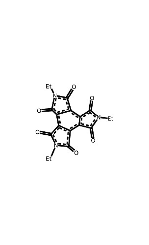 CCn1c(=O)c2c3c(=O)n(CC)c(=O)c3c3c(=O)n(CC)c(=O)c3c2c1=O